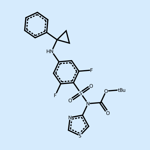 CC(C)(C)OC(=O)N(c1cscn1)S(=O)(=O)c1c(F)cc(NC2(c3ccccc3)CC2)cc1F